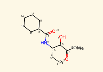 COC(=O)C(O)[C@H](CC(C)C)NC(=O)C1CCCCC1